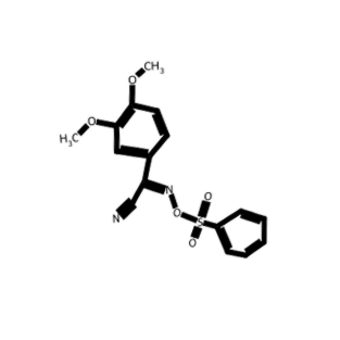 COc1ccc(C(C#N)=NOS(=O)(=O)c2ccccc2)cc1OC